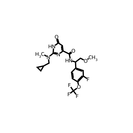 COCC(NC(=O)c1cc(=O)[nH]c(N(C)CC2CC2)n1)c1ccc(OC(F)(F)F)c(F)c1